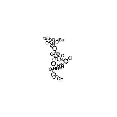 CC(C)(C)OC(=O)c1cc2cc(NC(=O)[C@H](Cc3ccc(NC(=O)N4CCO[C@@H](CO)C4)cc3)N3CCN(c4cc(Cl)ccc4-n4cnnn4)C(=O)C3=O)ccc2n1C(=O)OC(C)(C)C